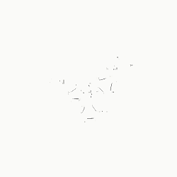 CNCc1cc(-c2ccccc2)n(S(=O)(=O)c2cccc(C(=O)N3CCOCC3)c2)c1.Cl